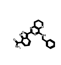 NC(=O)c1cccc2c(-c3nc4c(c(NCc5ccccc5)n3)OCCC4)onc12